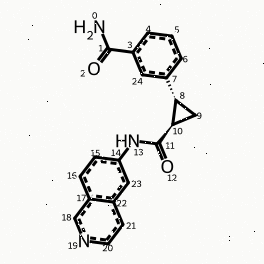 NC(=O)c1cccc([C@@H]2C[C@H]2C(=O)Nc2ccc3cnccc3c2)c1